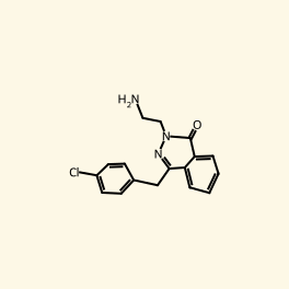 NCCn1nc(Cc2ccc(Cl)cc2)c2ccccc2c1=O